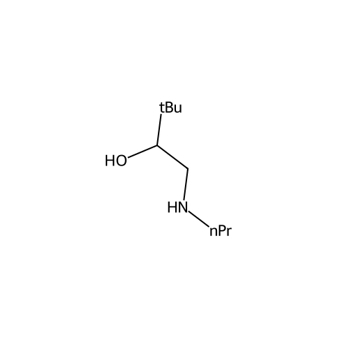 CCCNCC(O)C(C)(C)C